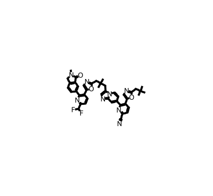 CN1Cc2ccc(-c3nc(C(F)F)ccc3-c3cnc(CC(C)(C)Cc4cnc5cc(-c6nc(C#N)ccc6-c6cnc(CC(C)(C)C)o6)ccn45)o3)cc2C1=O